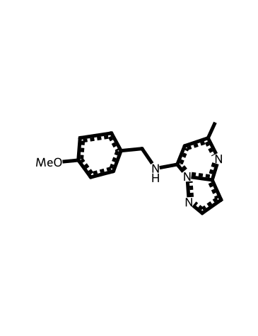 COc1ccc(CNc2cc(C)nc3ccnn23)cc1